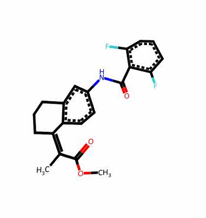 COC(=O)C(C)=C1CCCc2cc(NC(=O)c3c(F)cccc3F)ccc21